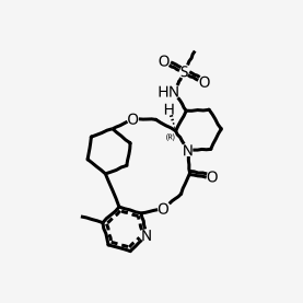 Cc1ccnc2c1C1CCC(CC1)OC[C@H]1C(NS(C)(=O)=O)CCCN1C(=O)CO2